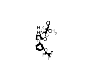 CC(C)(CCl)C(=O)NC1CCN(c2cccc(OC(F)C(F)F)c2)C1=O